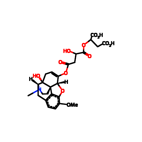 COc1ccc2c3c1O[C@H]1C(OC(=O)CC(O)C(=O)OC(CC(=O)O)C(=O)O)=CC[C@@]4(O)[C@@H](C2)N(C)CC[C@]314